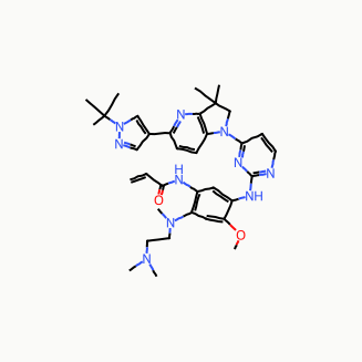 C=CC(=O)Nc1cc(Nc2nccc(N3CC(C)(C)c4nc(-c5cnn(C(C)(C)C)c5)ccc43)n2)c(OC)cc1N(C)CCN(C)C